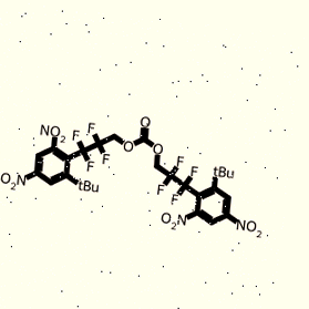 CC(C)(C)c1cc([N+](=O)[O-])cc([N+](=O)[O-])c1C(F)(F)C(F)(F)COC(=O)OCC(F)(F)C(F)(F)c1c([N+](=O)[O-])cc([N+](=O)[O-])cc1C(C)(C)C